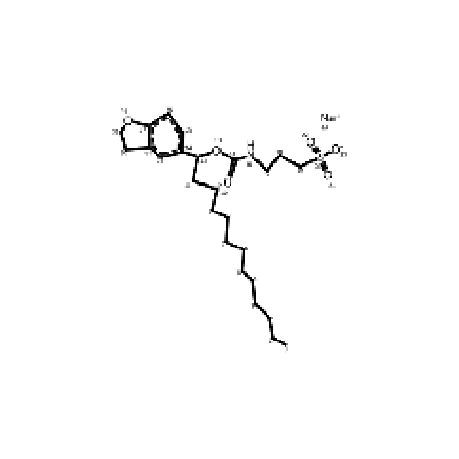 CCCCCCCCCCCCC(OC(=O)NCCCS(=O)(=O)[O-])c1ccc2c(c1)CCO2.[Na+]